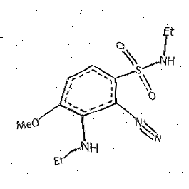 CCNc1c(OC)ccc(S(=O)(=O)NCC)c1[N+]#N